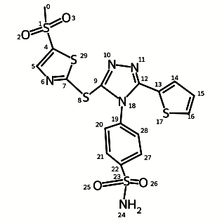 CS(=O)(=O)c1cnc(Sc2nnc(-c3cccs3)n2-c2ccc(S(N)(=O)=O)cc2)s1